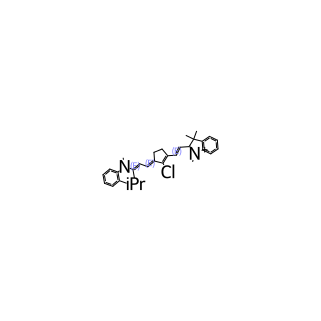 C/C(=C\C=C1/CCC(/C=C/C2=[N+](C)c3ccccc3C2(C)C)=C1Cl)N(C)c1ccccc1C(C)C